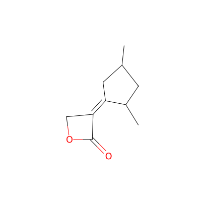 CC1CC(=C2COC2=O)C(C)C1